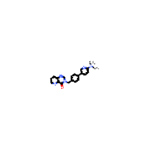 CN(C)c1ccc(-c2ccc(Cn3cnc4cccnc4c3=O)cc2)cn1